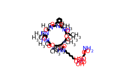 C/C=C(\C)[C@H]1OC(=O)[C@@H](C)NC(=O)[C@H]([C@H](C)CC)NC(=O)CN(C)C(=O)[C@@H](Cc2ccccc2)N(C)C(=O)[C@H](C)NC(=O)[C@@H](CC(C)C)OC(=O)/C(C)=C/C[C@H](OC(=O)NCCCCCCCOP(=O)(O)OP(=O)(O)OCCOC(N)=O)[C@@H]1C